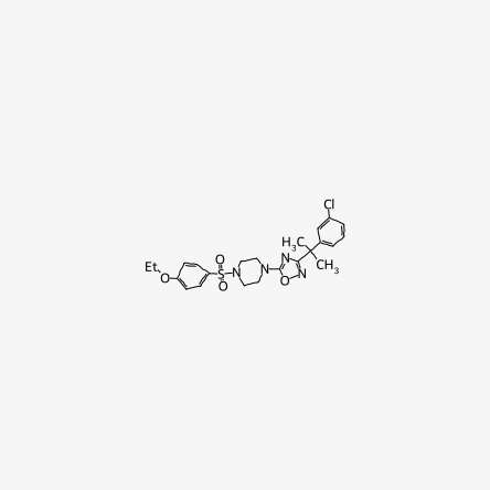 CCOc1ccc(S(=O)(=O)N2CCN(c3nc(C(C)(C)c4cccc(Cl)c4)no3)CC2)cc1